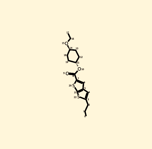 CCCc1cc2cc(C(=O)O[C@H]3CC[C@H](OCC)CC3)sc2s1